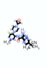 CN1CC(F)C(N2CCN(C3COC3)CC2)C(NC(=O)c2c(N)nn3cc(C(C)(C)C#N)cnc23)C1